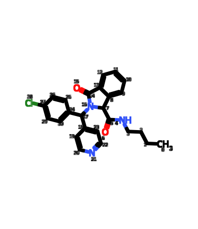 CCCCNC(=O)C1c2ccccc2C(=O)N1C(c1ccncc1)c1ccc(Cl)cc1